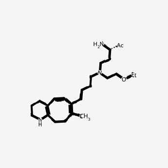 CCOCCN(CCCCC1=C(\C)CCC2=C(/C=C\1)CCCN2)CC[C@H](N)C(C)=O